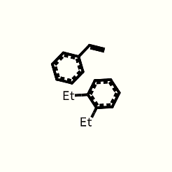 C=Cc1ccccc1.CCc1ccccc1CC